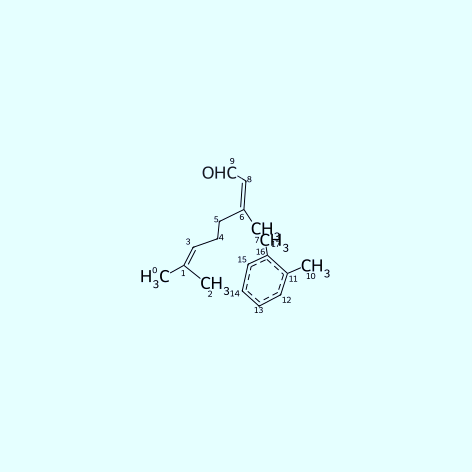 CC(C)=CCCC(C)=CC=O.Cc1ccccc1C